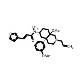 C=CCN1CC[C@@]2(c3cccc(OC)c3)C[C@H](N(C)C(=O)/C=C/c3ccoc3)CC[C@]2(OC)C1